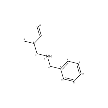 C=CC(C)CNCc1ccccc1